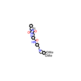 CCn1c(=O)/c(=C/c2cccc(C(=O)Nc3ccc(CCN4CCc5cc(OC)c(OC)cc5C4)cc3)c2)[nH]c(=O)/c1=C/c1ccccc1